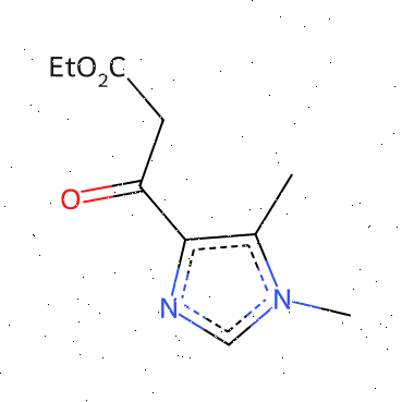 CCOC(=O)CC(=O)c1ncn(C)c1C